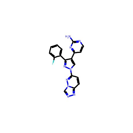 Nc1nccc(-c2cn(-c3ccc4nncn4n3)nc2-c2ccccc2F)n1